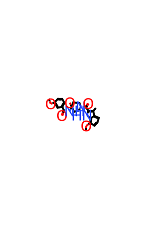 COc1ccc2c(c1)C(=O)NC1(CCN(C(=O)c3[nH]c4c(OC)cccc4c3C)CC1)O2